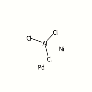 [Cl][Al]([Cl])[Cl].[Ni].[Pd]